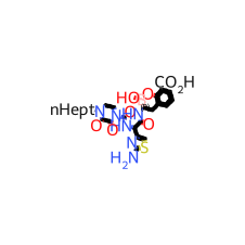 CCCCCCCN1CCN(C(=O)NC(C(=O)N[C@H]2Cc3cccc(C(=O)O)c3OB2O)c2csc(N)n2)C(=O)C1=O